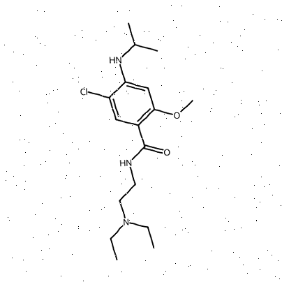 CCN(CC)CCNC(=O)c1cc(Cl)c(NC(C)C)cc1OC